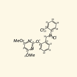 COc1cc(OC)nc(Oc2ccccc2CN(Cl)c2ccccc2Cl)n1